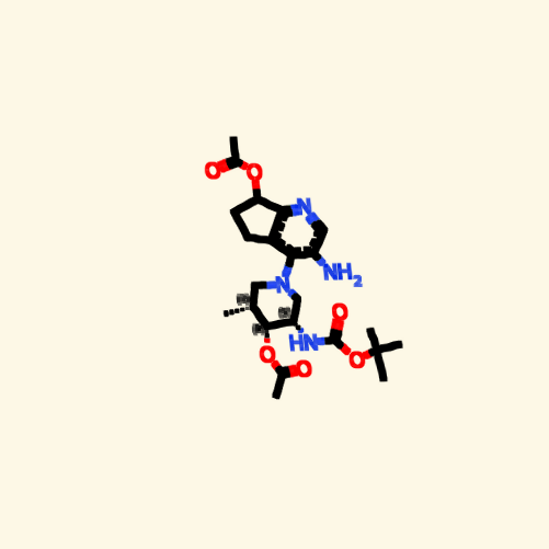 CC(=O)OC1CCc2c1ncc(N)c2N1C[C@@H](C)[C@@H](OC(C)=O)[C@@H](NC(=O)OC(C)(C)C)C1